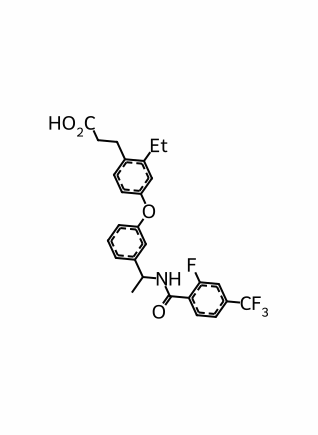 CCc1cc(Oc2cccc(C(C)NC(=O)c3ccc(C(F)(F)F)cc3F)c2)ccc1CCC(=O)O